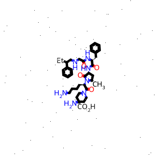 CCC(CNCC(=O)N[C@H](Cc1ccccc1)C(=O)N[C@@H]1CC(C)N([C@H](CCCCN)C(=O)N2CCC(N)(C(=O)O)CC2)C1=O)c1ccccc1